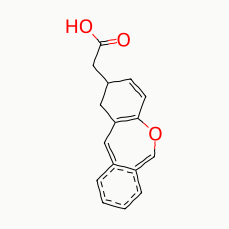 O=C(O)CC1C=CC2=C(C=c3ccccc3=CO2)C1